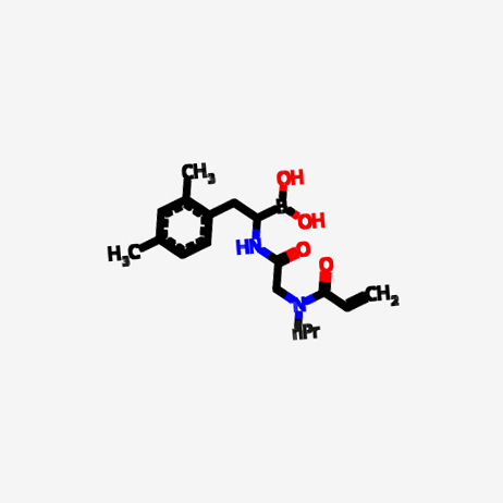 C=CC(=O)N(CCC)CC(=O)NC(Cc1ccc(C)cc1C)B(O)O